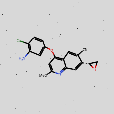 COc1cc(Oc2ccc(Cl)c(N)c2)c2cc(C#N)c([C@@H]3CO3)cc2n1